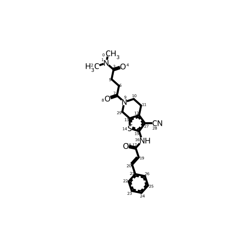 CN(C)C(=O)CCC(=O)N1CCc2c(sc(NC(=O)C=Cc3ccccc3)c2C#N)C1